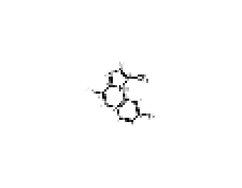 Fc1ccc2nc(Cl)c3nnc(C(F)(F)F)n3c2c1